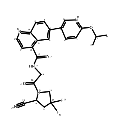 CC(C)Oc1ccc(-c2ccc3nccc(C(=O)NCC(=O)N4CC(F)(F)CC4C#N)c3c2)cn1